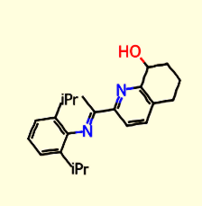 CC(=Nc1c(C(C)C)cccc1C(C)C)c1ccc2c(n1)C(O)CCC2